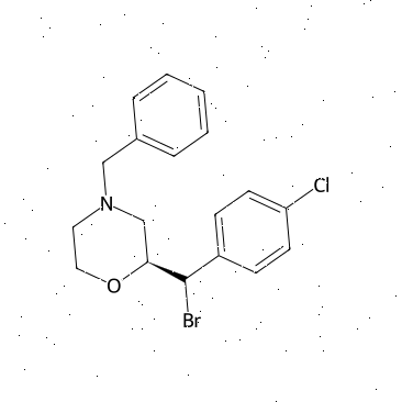 Clc1ccc(C(Br)[C@@H]2CN(Cc3ccccc3)CCO2)cc1